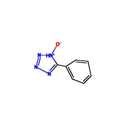 [O-][NH+]1N=NN=C1c1ccccc1